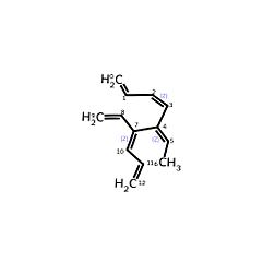 C=C\C=C/C(=C/C)C(/C=C)=C\C=C